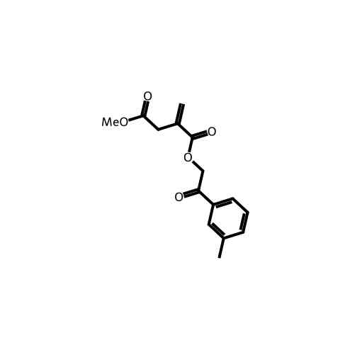 C=C(CC(=O)OC)C(=O)OCC(=O)c1cccc(C)c1